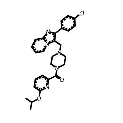 CC(C)Oc1cccc(C(=O)N2CCN(Cc3c(-c4ccc(Cl)cc4)nc4ccccn34)CC2)n1